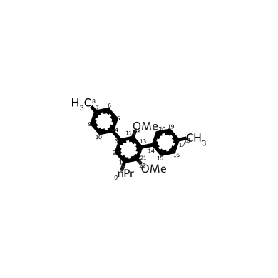 CCCc1[c]c(-c2ccc(C)cc2)c(OC)c(-c2ccc(C)cc2)c1OC